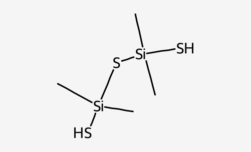 C[Si](C)(S)S[Si](C)(C)S